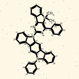 C[Si]1(C)c2ccccc2-c2nc(-n3c4ccccc4c4cc5c(cc43)c3ccccc3n5-c3ccccc3)nc(-c3ccccc3)c21